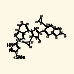 CSc1cc(-n2cc3c(-c4nc(-c5cc6cn(C)nc6nc5C5CC5)n(C)c4C4CC4)cccc3n2)[nH]n1